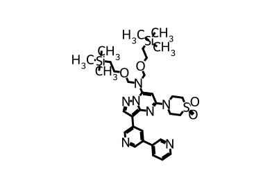 C[Si](C)(C)CCOCN(COCC[Si](C)(C)C)c1cc(N2CCS(=O)(=O)CC2)nc2c(-c3cncc(-c4cccnc4)c3)cnn12